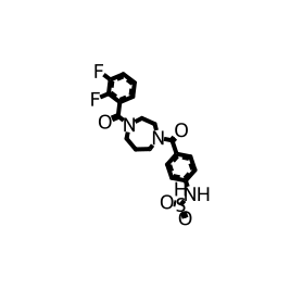 O=C(c1ccc(N[SH](=O)=O)cc1)N1CCCN(C(=O)c2cccc(F)c2F)CC1